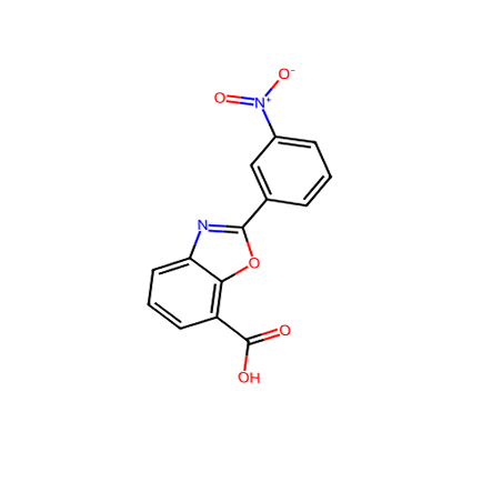 O=C(O)c1cccc2nc(-c3cccc([N+](=O)[O-])c3)oc12